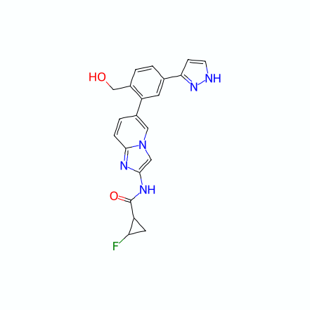 O=C(Nc1cn2cc(-c3cc(-c4cc[nH]n4)ccc3CO)ccc2n1)C1CC1F